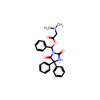 CN(C)CC(=O)OC(c1ccccc1)N1C(=O)NC(c2ccccc2)(c2ccccc2)C1=O